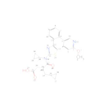 COc1ccc(-c2ccccc2-c2csc(N(C(=O)[C@@H](CC(=O)O)CC3CC3)C3CC3)n2)cn1